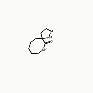 O=C1NCCCCCC12CCNN2